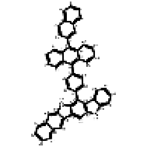 c1ccc2cc(-c3c4ccccc4c(-c4ccc(-c5c6oc7cc8ccccc8cc7c6cc6sc7ccccc7c56)cc4)c4ccccc34)ccc2c1